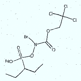 CCC(CC)P(=O)(O)ON(Br)C(=O)OCC(Cl)(Cl)Cl